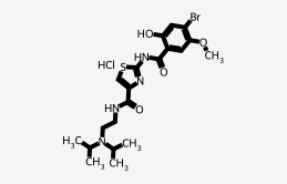 COc1cc(C(=O)Nc2nc(C(=O)NCCN(C(C)C)C(C)C)cs2)c(O)cc1Br.Cl